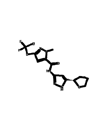 Cn1nc(OC(F)(F)Cl)cc1C(=O)Nc1cc([C@@H]2C[CH]CO2)[nH]n1